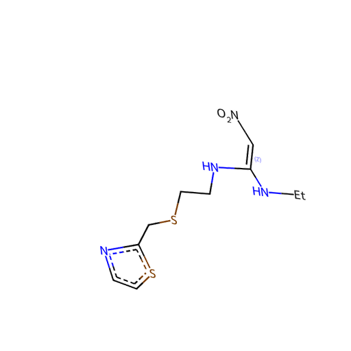 CCN/C(=C/[N+](=O)[O-])NCCSCc1nccs1